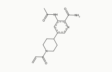 C=CC(=O)N1CCC(c2cnc(C(N)=O)c(NC(C)=O)c2)CC1